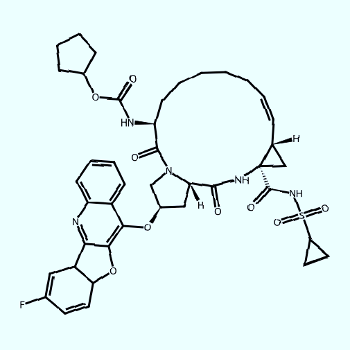 O=C(N[C@H]1CCCCC/C=C\[C@@H]2C[C@@]2(C(=O)NS(=O)(=O)C2CC2)NC(=O)[C@@H]2C[C@@H](Oc3c4c(nc5ccccc35)C3C=C(F)C=CC3O4)CN2C1=O)OC1CCCC1